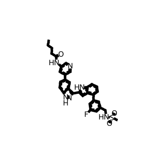 CCCCC(=O)Nc1cncc(-c2ccc3[nH]nc(-c4cc5c(-c6cc(F)cc(CNS(C)(=O)=O)c6)cccc5[nH]4)c3c2)c1